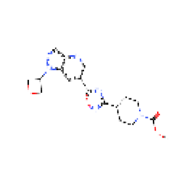 COC(=O)N1CCC(c2noc(-c3cnc4cnn(C5COC5)c4c3)n2)CC1